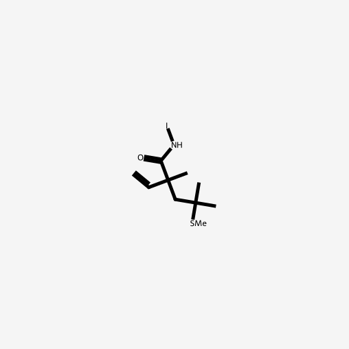 C=CC(C)(CC(C)(C)SC)C(=O)NI